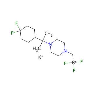 CC(C)(C1CCC(F)(F)CC1)N1CCN(C[B-](F)(F)F)CC1.[K+]